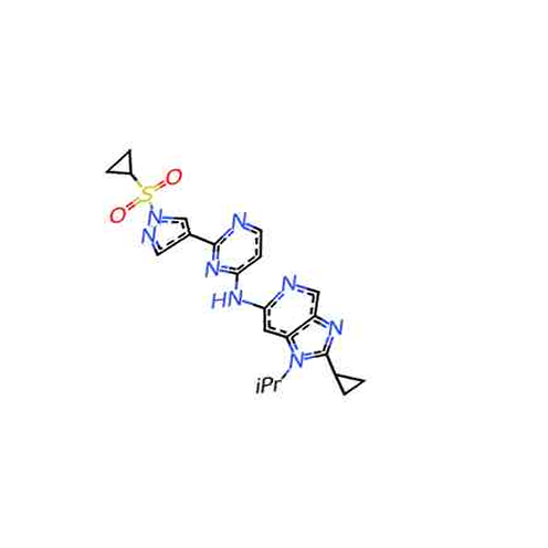 CC(C)n1c(C2CC2)nc2cnc(Nc3ccnc(-c4cnn(S(=O)(=O)C5CC5)c4)n3)cc21